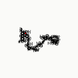 CC/N=c1/cc2oc3cc(NCC)c(C)cc3c(-c3cc(C(=O)NCCNC(=O)c4cccc(OCC(N=[N+]=[N-])OCCOCC(=O)NCC#Cc5cn([C@H]6CC(OCN=[N+]=[N-])[C@@H](COP(=O)(O)OP(=O)(O)OP(C)O)O6)c(=O)[nH]c5=O)c4)ccc3C(=O)O)c-2cc1C